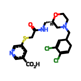 O=C(CSc1cncc(C(=O)O)c1)NC[C@H]1CN(CC2C=C(Cl)C(Cl)=CC2)CCO1